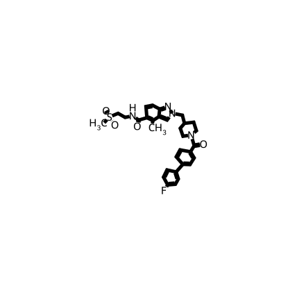 Cc1c(C(=O)NCCS(C)(=O)=O)ccc2nn(CC3CCN(C(=O)c4ccc(-c5ccc(F)cc5)cc4)CC3)cc12